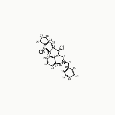 Clc1nc(C(Cl)CCN(Cc2ccccc2)Cc2ccccc2)cc2c1CCC2